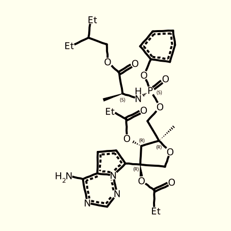 CCC(=O)O[C@@H]1[C@@](C)(CO[P@@](=O)(N[C@@H](C)C(=O)OCC(CC)CC)Oc2ccccc2)OC[C@]1(OC(=O)CC)c1ccc2c(N)ncnn12